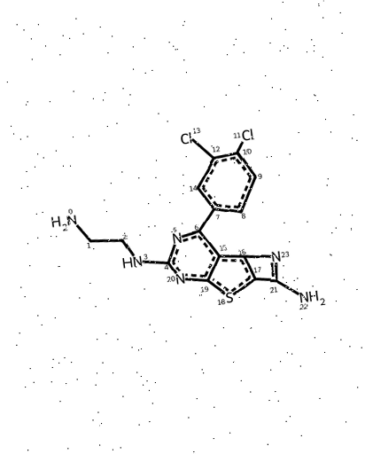 NCCNc1nc(-c2ccc(Cl)c(Cl)c2)c2c3c(sc2n1)C(N)=N3